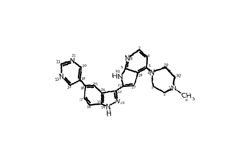 CN1CCN(c2ccnc3[nH]c(-c4n[nH]c5ccc(-c6cncnc6)cc45)cc23)CC1